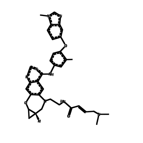 Cc1cc(Nc2ncnc3cc4c(cc23)N(CCNC(=O)/C=C/CN(C)C)C[C@@H]2CC2O4)ccc1Oc1ccc2c(c1)ncn2C